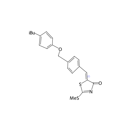 CCC(C)c1ccc(OCc2ccc(/C=C3\SC(SC)=NC3=O)cc2)cc1